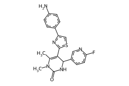 CC1=C(c2nc(-c3ccc(N)cc3)cs2)C(c2ccc(F)nc2)NC(=O)N1C